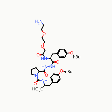 CCCCOc1ccc(C[C@H](NC(=O)N2CCCC2C(=O)NNC(=O)[C@H](Cc2ccc(OCCCC)cc2)NC(=O)COCCOCCN)C(=O)O)cc1